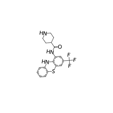 O=C(Nc1cc(C(F)(F)F)cc2c1Nc1ccccc1S2)C1CCNCC1